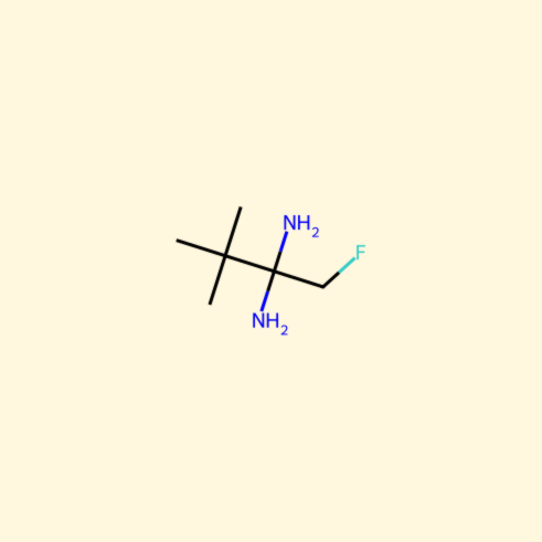 CC(C)(C)C(N)(N)CF